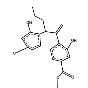 C=C(c1ccc(C(=O)OC)cc1O)C(CCC)c1ccc(Cl)cc1O